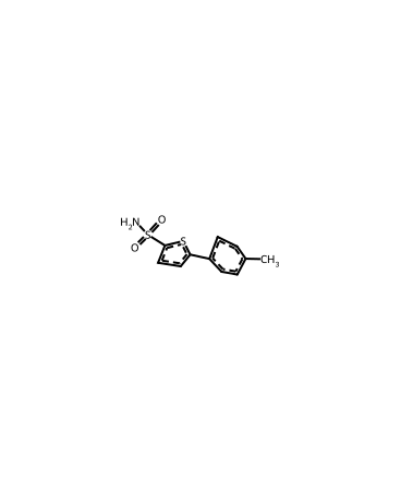 Cc1ccc(-c2ccc(S(N)(=O)=O)s2)cc1